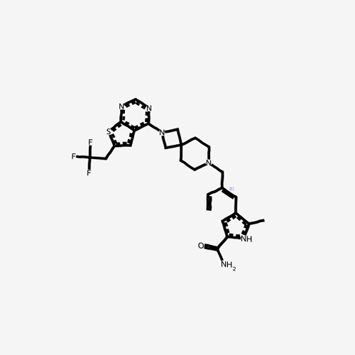 C=C/C(=C\c1cc(C(N)=O)[nH]c1C)CN1CCC2(CC1)CN(c1ncnc3sc(CC(F)(F)F)cc13)C2